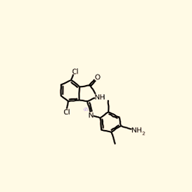 Cc1cc(/N=C2\NC(=O)c3c(Cl)ccc(Cl)c32)c(C)cc1N